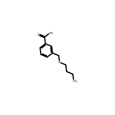 CCCCOCc1cccc(C(=O)O)c1